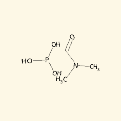 CN(C)C=O.OP(O)O